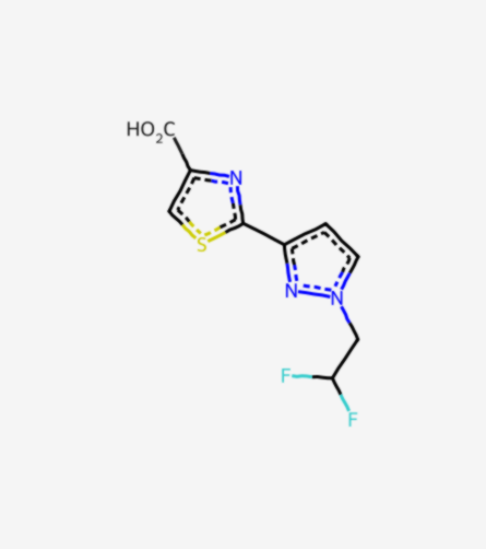 O=C(O)c1csc(-c2ccn(CC(F)F)n2)n1